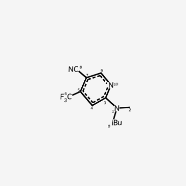 CCC(C)N(C)c1cc(C(F)(F)F)c(C#N)cn1